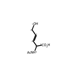 CC(=O)NC(C=CCO)C(=O)O